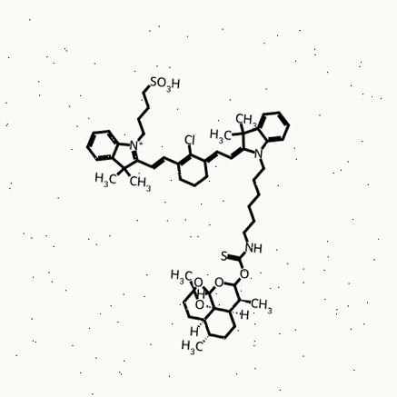 C[C@@H]1C(OC(=S)NCCCCCCN2/C(=C/C=C3\CCCC(/C=C/C4=[N+](CCCCS(=O)(=O)O)c5ccccc5C4(C)C)=C3Cl)C(C)(C)c3ccccc32)O[C@H]2O[C@@]3(C)CC[C@@H]4[C@@H](C)CC[C@H]1[C@]24O3